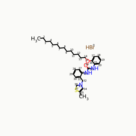 Br.CCCCCCCCCCCCCCOc1ccccc1NC(=O)Nc1ccccc1CN1C=C(C)SC1